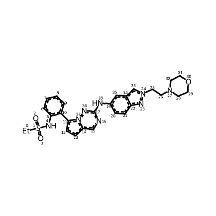 CCS(=O)(=O)Nc1ccccc1-c1ccc2cnc(Nc3ccc4nn(CCN5CCOCC5)cc4c3)nn12